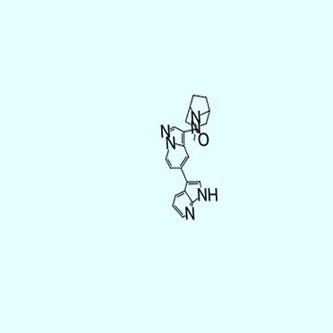 CN1CC2CCC(C1)N2C(=O)c1cnn2ccc(-c3c[nH]c4ncccc34)cc12